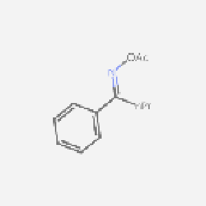 CCCC(=NOC(C)=O)c1ccccc1